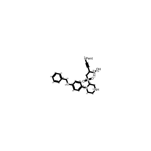 CCCCCC#CC(CS(=O)(=O)C1CNCCN1c1ccc(OCc2ccccc2)cc1)NO